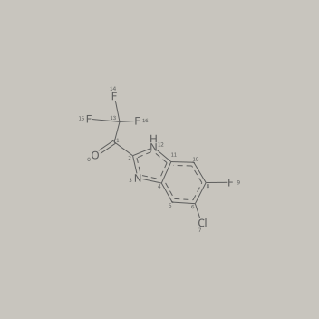 O=C(c1nc2cc(Cl)c(F)cc2[nH]1)C(F)(F)F